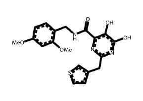 COc1ccc(CNC(=O)c2nc(Cc3ccsc3)nc(O)c2O)c(OC)c1